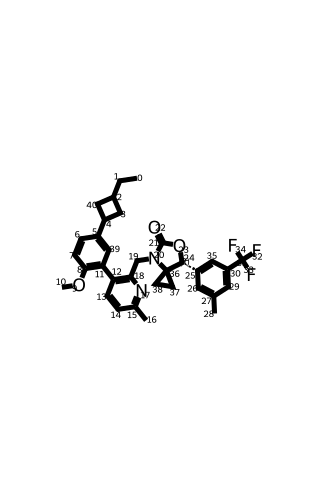 CCC1CC(c2ccc(OC)c(-c3ccc(C)nc3CN3C(=O)O[C@H](c4cc(C)cc(C(F)(F)F)c4)C34CC4)c2)C1